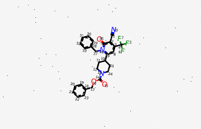 N#Cc1c(C(F)(F)F)cc(C2CCN(C(=O)OCc3ccccc3)CC2)n(Cc2ccccc2)c1=O